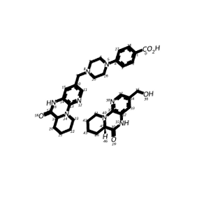 O=C(O)c1ccc(N2CCN(Cc3cnc4c(c3)NC(=O)C3CCCCN43)CC2)cc1.O=C1Nc2cc(CO)cnc2N2CCCC[C@@H]12